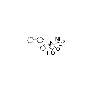 NC(=O)c1nn(CC2(c3cccc(-c4ccccc4)c3)CCCC2)cc(O)c1=O